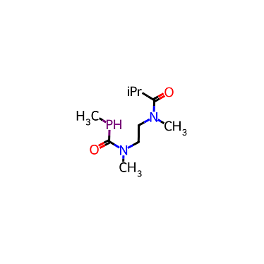 CPC(=O)N(C)CCN(C)C(=O)C(C)C